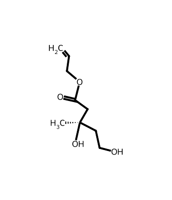 C=CCOC(=O)C[C@](C)(O)CCO